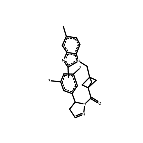 Cc1ccc2c(c1)nc(C)n2CC12CC(C(=O)N3N=CCC3c3cc(F)cc(F)c3)(C1)C2